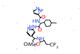 COCC(NC(=O)CCC(F)(F)F)c1ccnc(NC(=O)[C@@H](NC(=O)c2ccnn2C)C2CCC(C)CC2)c1